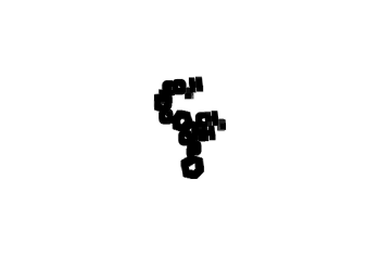 C[C@H](NC(=O)OCc1ccccc1)c1ccc(OC2CCN(C(=O)O)C2)cc1